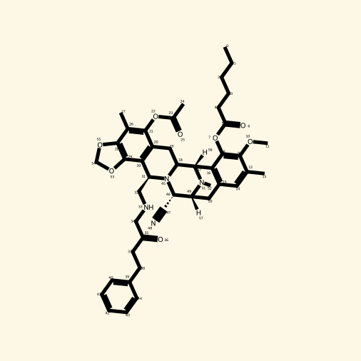 CCCCCC(=O)Oc1c(OC)c(C)cc2c1[C@H]1C3Cc4c(OC(C)=O)c(C)c5c(c4[C@H](CNCC(=O)CCc4ccccc4)N3[C@@H](C#N)[C@@H](C2)N1C)OCO5